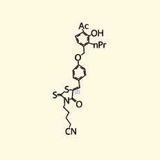 CCCc1c(COc2ccc(/C=C3\SC(=S)N(CCCCC#N)C3=O)cc2)ccc(C(C)=O)c1O